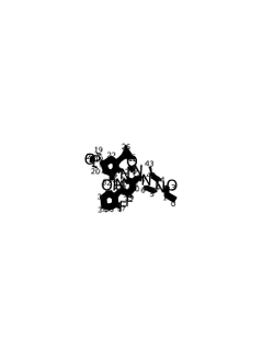 C=CC(=O)N1CCN(c2nc(=O)n(-c3c(C)cc(P(C)(C)=O)cc3C3CC3)c3nc(-c4c(O)cccc4F)c(F)cc23)[C@@H](C)C1